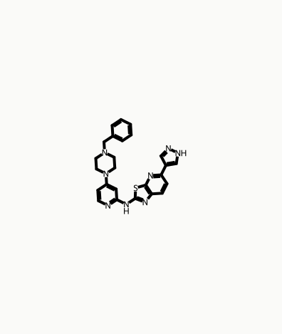 c1ccc(CN2CCN(c3ccnc(Nc4nc5ccc(-c6cn[nH]c6)nc5s4)c3)CC2)cc1